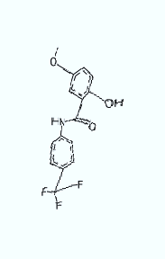 COc1ccc(O)c(C(=O)Nc2ccc(C(F)(F)F)cc2)c1